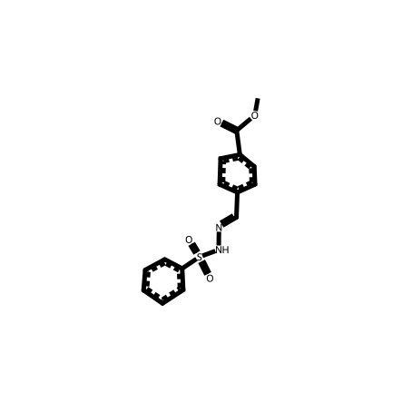 COC(=O)c1ccc(/C=N/NS(=O)(=O)c2ccccc2)cc1